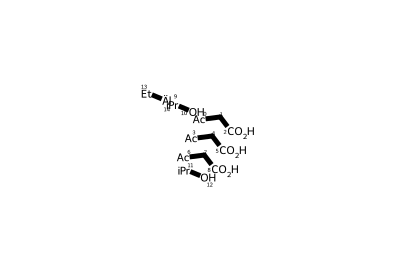 CC(=O)CC(=O)O.CC(=O)CC(=O)O.CC(=O)CC(=O)O.CC(C)O.CC(C)O.C[CH2][Al]